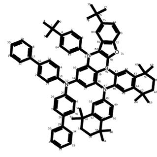 CC(C)(C)c1ccc(N2c3cc(N(c4ccc(-c5ccccc5)cc4)c4ccc(-c5ccccc5)cc4)cc4c3B(c3cc5c(cc3N4c3ccc4c(c3)C(C)(C)CCC4(C)C)C(C)(C)CCC5(C)C)c3oc4ccc(C(C)(C)C)cc4c32)cc1